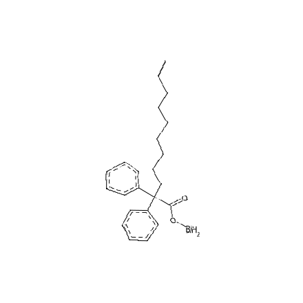 CCCCCCCCCC(C(=O)[O][BiH2])(c1ccccc1)c1ccccc1